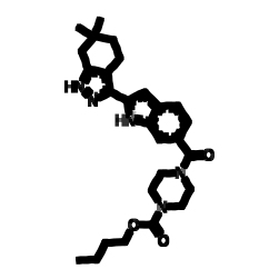 CCCCOC(=O)N1CCN(C(=O)c2ccc3cc(-c4n[nH]c5c4CCC(C)(C)C5)[nH]c3c2)CC1